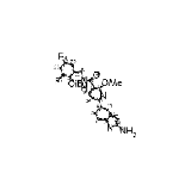 COc1nc(-c2ccc3nc(N)sc3c2)ccc1C(=O)NCc1cc(F)cc(F)c1OCC(C)C